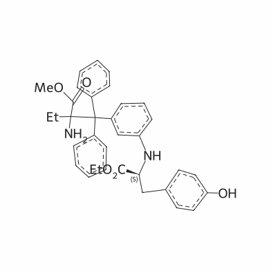 CCOC(=O)[C@H](Cc1ccc(O)cc1)Nc1cccc(C(c2ccccc2)(c2ccccc2)C(N)(CC)C(=O)OC)c1